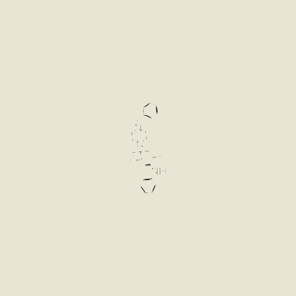 CC(CC1(N2CCN(Cc3ccccc3)CC2)COC1)C(=O)Nc1ccccc1